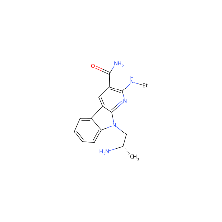 CCNc1nc2c(cc1C(N)=O)c1ccccc1n2C[C@H](C)N